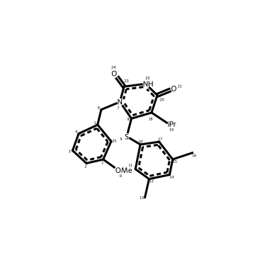 COc1cccc(Cn2c(Sc3cc(C)cc(C)c3)c(C(C)C)c(=O)[nH]c2=O)c1